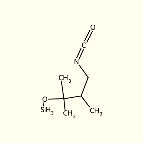 CC(CN=C=O)C(C)(C)O[SiH3]